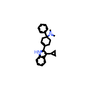 CN(C)C1(c2ccccc2)CC=C(c2[nH]c3ccccc3c2C2CC2)CC1